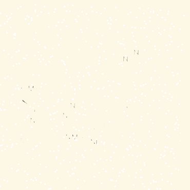 C=CC(=O)N1C[C@@H](n2nc(C#Cc3cc4nnc5c(c4cc3Cl)CCCC5)c(C(N)=O)c2NC)C[C@@H]1COC